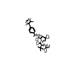 CC(=O)NC(C(=O)N1CC(=O)CC1C(=O)NC(C)c1ccc(-c2scnc2C)cc1)C(C)(C)C